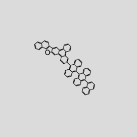 c1ccc2c(-c3c4ccccc4c(-c4c5ccccc5c(-c5ccc6c(c5)c5ccccc5c5cc7c(cc65)oc5c6ccccc6ccc75)c5ccccc45)c4ccccc34)cccc2c1